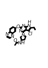 CCc1[nH]c2nc(Oc3ccc4nccnc4c3)nc(N3CC[C@@H](NC(C)=O)C3)c2c1Cl